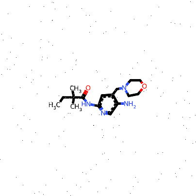 CCC(C)(C)C(=O)Nc1cc(CN2CCOCC2)c(N)cn1